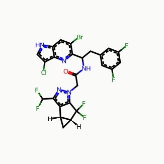 O=C(Cn1nc(C(F)F)c2c1C(F)(F)[C@@H]1C[C@H]21)NC(Cc1cc(F)cc(F)c1)c1nc2c(Cl)c[nH]c2cc1Br